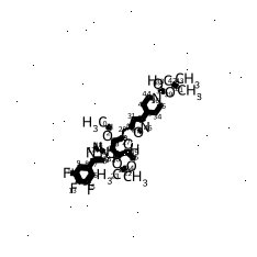 CCO[C@@H]1[C@@H](n2cc(-c3cc(F)c(F)c(F)c3)nn2)[C@H]2OC(C)(C)OC[C@H]2O[C@@H]1C[C@H]1CC(C2CCN(C(=O)OC(C)(C)C)CC2)=NO1